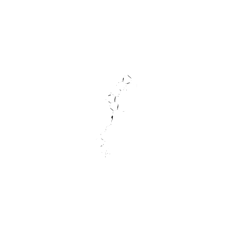 COc1cc2c(NC(=O)Nc3c(Cl)cccc3Cl)ncnc2cc1C#CCCCCN(C)NC(=O)OC(C)(C)C